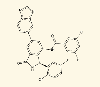 O=C(Nc1cc(-c2ccc3ncnn3c2)cc2c1[C@@H](c1cc(F)ccc1Cl)NC2=O)c1cc(F)cc(Cl)c1